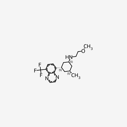 COCCN[C@H]1C[C@@H](C)C[C@H](c2ccc(C(F)(F)F)c3nccnc23)C1